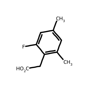 Cc1cc(C)c(CC(=O)O)c(F)c1